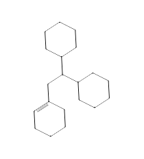 C1=C(CC(C2CCCCC2)C2CCCCC2)CCCC1